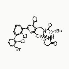 COc1nc(-c2cccc(-c3cccc(Br)c3Cl)c2Cl)cc(Cl)c1CN(C[C@@H]1CCC(=O)N1)C(=O)OC(C)(C)C